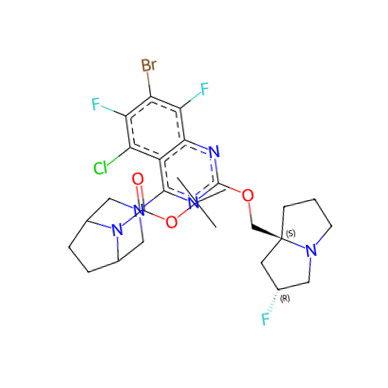 CC(C)(C)OC(=O)N1C2CCC1CN(c1nc(OC[C@@]34CCCN3C[C@H](F)C4)nc3c(F)c(Br)c(F)c(Cl)c13)C2